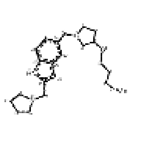 COCCCOC1CCN(Cc2ccc3[nH]c(CN4CCCC4)cc3c2)C1